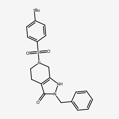 CC(C)(C)c1ccc(S(=O)(=O)N2CCc3c([nH]n(Cc4ccccc4)c3=O)C2)cc1